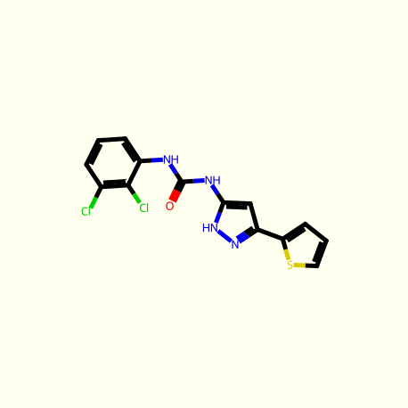 O=C(Nc1cc(-c2cccs2)n[nH]1)Nc1cccc(Cl)c1Cl